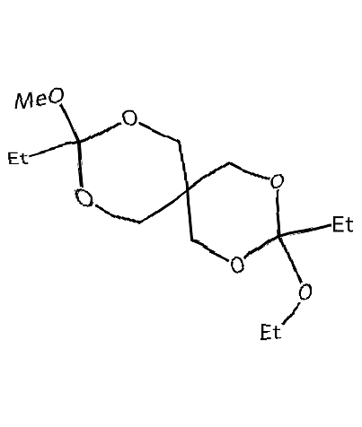 CCOC1(CC)OCC2(COC(CC)(OC)OC2)CO1